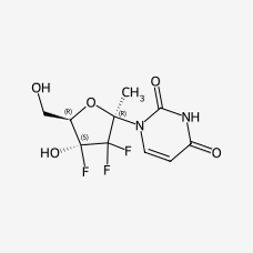 C[C@@]1(n2ccc(=O)[nH]c2=O)O[C@H](CO)[C@](O)(F)C1(F)F